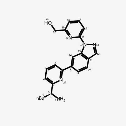 CCCC[C@H](N)c1cccc(-c2ccc3cnn(-c4cccc(CO)n4)c3c2)n1